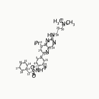 CC(C)c1cc(-c2ccc(NS(=O)(=O)Cc3ccccc3)c(F)c2)nc2cnc(NCCCN(C)C)nc12